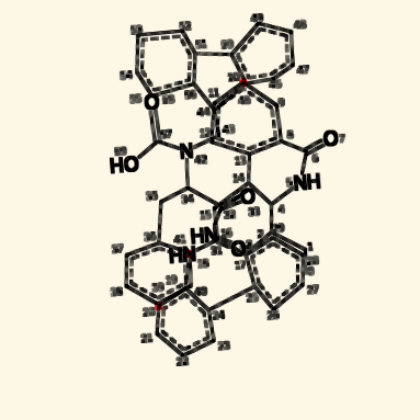 CCC(C)C1NC(=O)c2ccccc2/C1=C/C(=O)Nc1ccccc1-c1ccccc1NC(=O)C(Cc1ccccc1)N(CC1c2ccccc2-c2ccccc21)C(=O)O